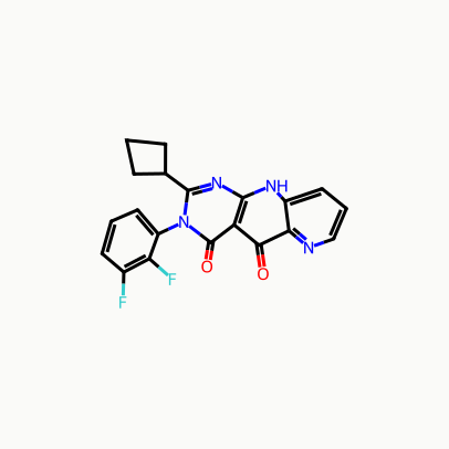 O=c1c2ncccc2[nH]c2nc(C3CCC3)n(-c3cccc(F)c3F)c(=O)c12